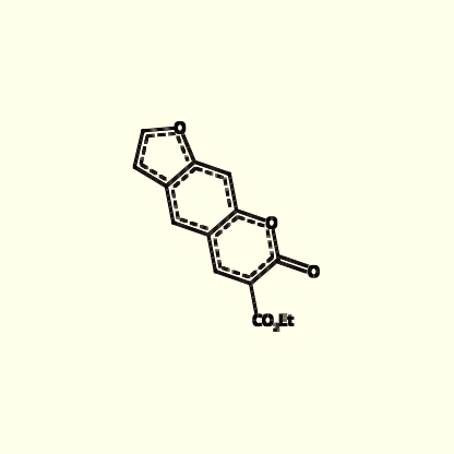 CCOC(=O)c1cc2cc3ccoc3cc2oc1=O